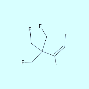 [CH2]C=C(C)C(CF)(CF)CF